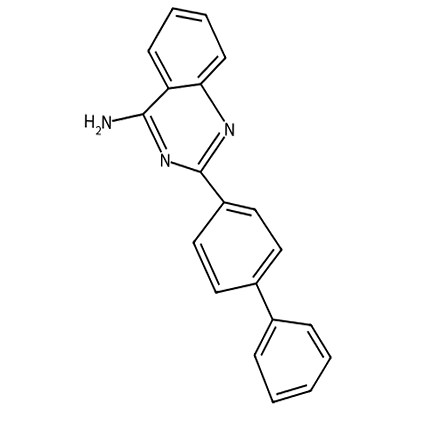 Nc1nc(-c2ccc(-c3ccccc3)cc2)nc2ccccc12